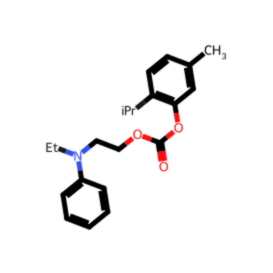 CCN(CCOC(=O)Oc1cc(C)ccc1C(C)C)c1ccccc1